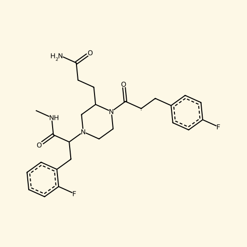 CNC(=O)C(Cc1ccccc1F)N1CCN(C(=O)[CH]Cc2ccc(F)cc2)C(CCC(N)=O)C1